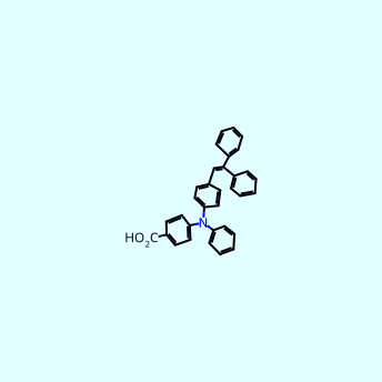 O=C(O)c1ccc(N(c2ccccc2)c2ccc(C=C(c3ccccc3)c3ccccc3)cc2)cc1